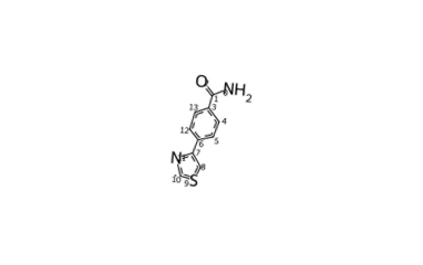 NC(=O)c1ccc(-c2cs[c]n2)cc1